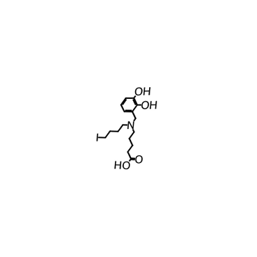 O=C(O)CCCCN(CCCCI)Cc1cccc(O)c1O